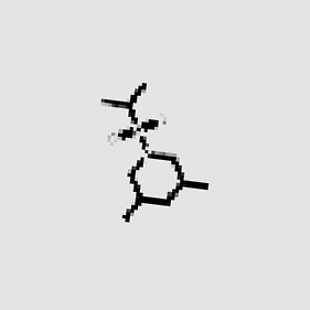 CC1CC(C)CN(S(=O)(=O)C(C)C)C1